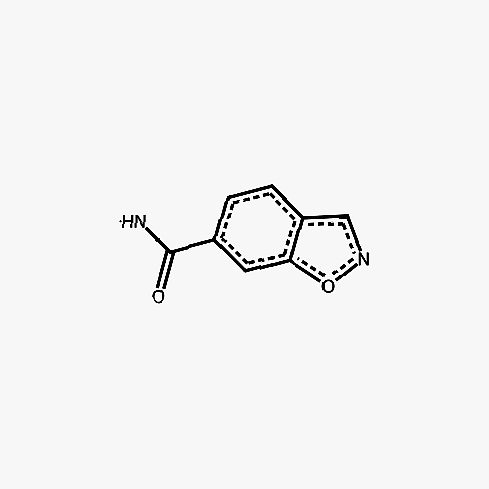 [NH]C(=O)c1ccc2cnoc2c1